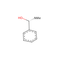 CN[C@@H](O)c1ccccc1